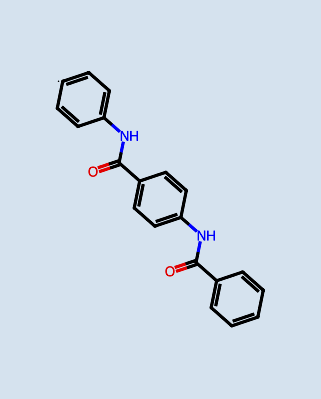 O=C(Nc1ccc(C(=O)Nc2cc[c]cc2)cc1)c1ccccc1